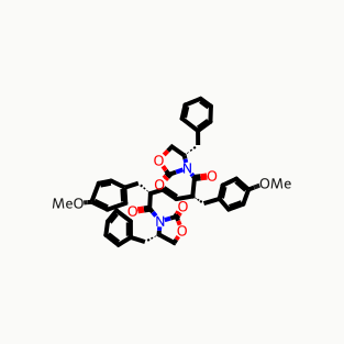 COc1ccc(C[C@H](/C=C/[C@@H](Cc2ccc(OC)cc2)C(=O)N2C(=O)OC[C@@H]2Cc2ccccc2)C(=O)N2C(=O)OC[C@@H]2Cc2ccccc2)cc1